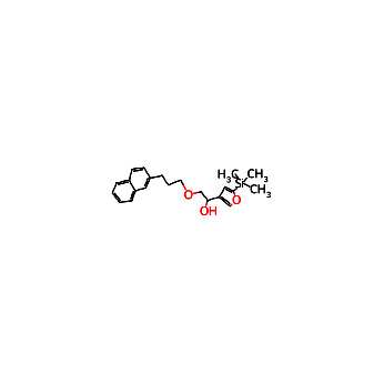 C[Si](C)(C)c1cc(C(O)COCCCc2ccc3ccccc3c2)co1